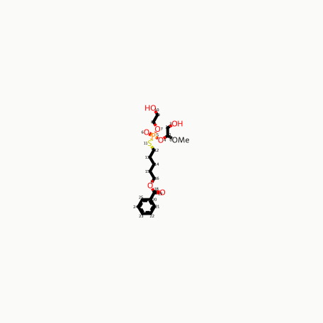 COC(CO)OP(=O)(OCCO)SCCCCCOC(=O)c1ccccc1